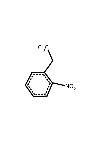 O=[N+]([O-])c1ccccc1CC(Cl)(Cl)Cl